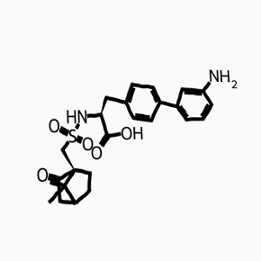 CC1(C)C2CC[C@@]1(CS(=O)(=O)N[C@@H](Cc1ccc(-c3cccc(N)c3)cc1)C(=O)O)C(=O)C2